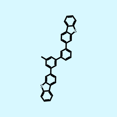 Cc1cc(-c2cccc(-c3ccc4c(c3)sc3ccccc34)c2)cc(-c2ccc3c(c2)sc2ccccc23)c1